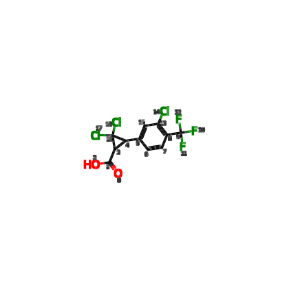 O=C(O)C1C(c2ccc(C(F)(F)F)c(Cl)c2)C1(Cl)Cl